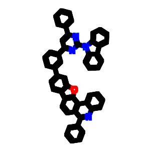 c1ccc(-c2cc(-c3cccc(-c4ccc5c(c4)oc4c5ccc5c(-c6ccccc6)nc6ccccc6c54)c3)nc(-n3c4ccccc4c4ccccc43)n2)cc1